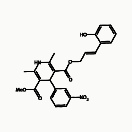 COC(=O)C1=C(C)NC(C)=C(C(=O)OCC=Cc2ccccc2O)C1c1cccc([N+](=O)[O-])c1